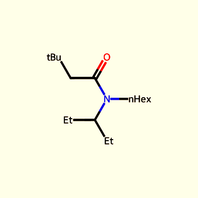 CCCCCCN(C(=O)CC(C)(C)C)C(CC)CC